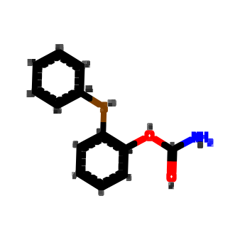 NC(=O)Oc1ccccc1Sc1ccccc1